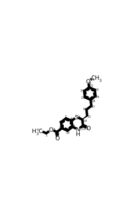 CCOC(=O)c1ccc2c(c1)NC(=O)[C@H](CCCc1ccc(OC)cc1)S2